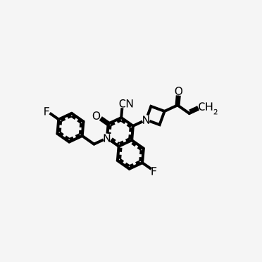 C=CC(=O)C1CN(c2c(C#N)c(=O)n(Cc3ccc(F)cc3)c3ccc(F)cc23)C1